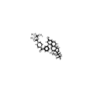 CC(C)(C)OC(=O)N1CCN(C(=O)c2ccc([C@H]3CC4(C)[C@@H](CC[C@@]4(O)C(F)(F)C(F)(F)F)C4CCC5=CC(=O)CCC5=C43)cc2)CC1